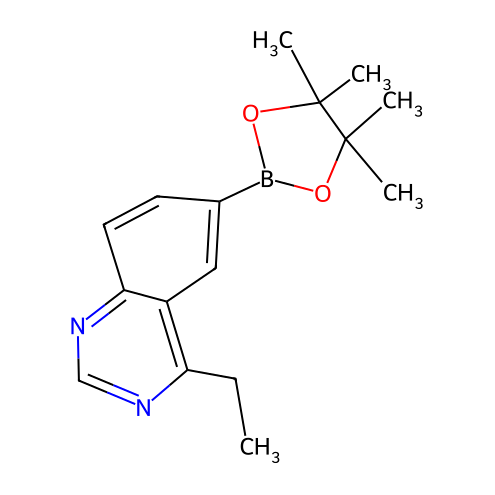 CCc1ncnc2ccc(B3OC(C)(C)C(C)(C)O3)cc12